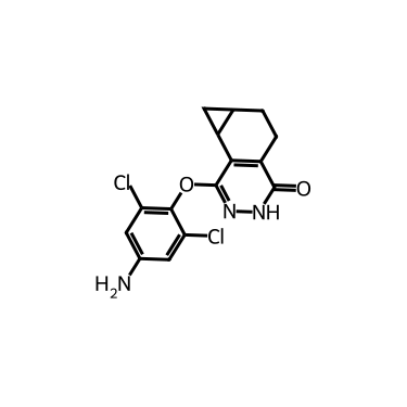 Nc1cc(Cl)c(Oc2n[nH]c(=O)c3c2C2CC2CC3)c(Cl)c1